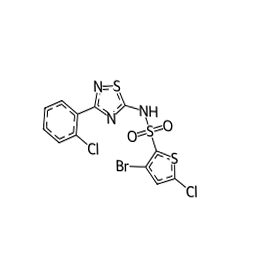 O=S(=O)(Nc1nc(-c2ccccc2Cl)ns1)c1sc(Cl)cc1Br